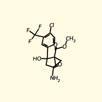 COC(=O)C1(C(O)(CC(N)=O)c2ccc(Cl)c(C(F)(F)F)c2)CC1